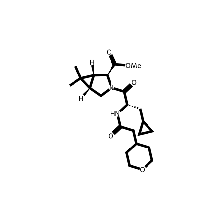 COC(=O)[C@@H]1[C@@H]2[C@H](CN1C(=O)[C@H](CC1CC1)NC(=O)CC1CCOCC1)C2(C)C